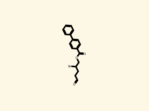 O=CCCC(Br)COC(=O)c1ccc(-c2ccccc2)cc1